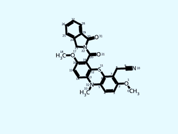 COc1ccc2c(c1CC#N)Sc1c(ccc(OC)c1C(=O)N1Cc3ccccc3C1=O)N2C